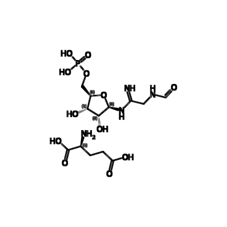 N=C(CNC=O)N[C@@H]1O[C@H](COP(=O)(O)O)[C@@H](O)[C@H]1O.N[C@@H](CCC(=O)O)C(=O)O